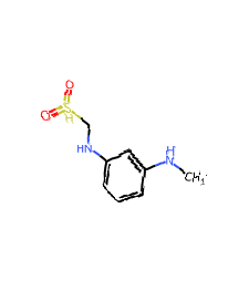 [CH2]Nc1cccc(NC[SH](=O)=O)c1